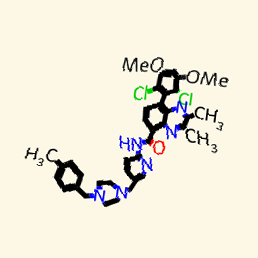 COc1cc(OC)c(Cl)c(-c2ccc(C(=O)Nc3ccc(CN4CCN(Cc5ccc(C)cc5)CC4)cn3)c3nc(C)c(C)nc23)c1Cl